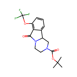 CC(C)(C)OC(=O)N1CCN2C(=O)c3c(OC(F)(F)F)cccc3C2C1